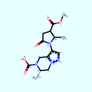 COC(=O)C1CC(=O)N(c2cnn3c2CN(C(=O)O)[C@@H](C)C3)C1C